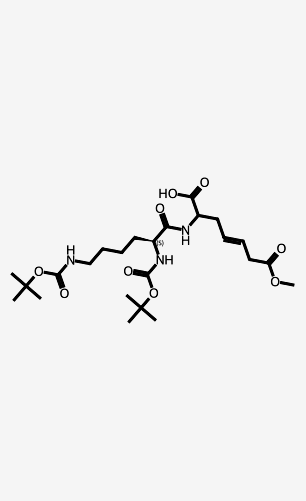 COC(=O)CC=CCC(NC(=O)[C@H](CCCCNC(=O)OC(C)(C)C)NC(=O)OC(C)(C)C)C(=O)O